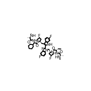 CC[C@H](NC(=O)[C@H](C)NC)C(=O)N1C[C@@H](F)C[C@H]1Cn1c(-c2[nH]c3cc(F)ccc3c2C[C@@H]2C[C@H](F)CN2C(=O)[C@@H](NC(=O)[C@H](C)NC)C2CCCCC2)nc2cc(F)ccc21